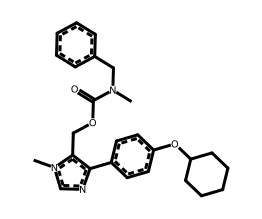 CN(Cc1ccccc1)C(=O)OCc1c(-c2ccc(OC3CCCCC3)cc2)ncn1C